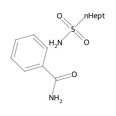 CCCCCCCS(N)(=O)=O.NC(=O)c1ccccc1